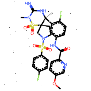 COc1ccc(C(=O)Nc2ccc(F)c([C@]3(C)NC(=N)N(C)S(=O)(=O)[C@]34CCN(S(=O)(=O)c3ccc(F)cc3)C4)c2)nc1